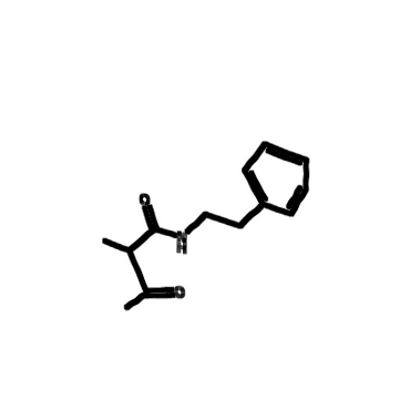 CC(=O)C(C)C(=O)NCCc1ccccc1